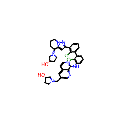 O[C@@H]1CCN(Cc2cnc3c(Nc4cccc(-c5cccc(-c6cc7n(n6)CCCC7N6CC[C@@H](O)C6)c5Cl)c4Cl)nccc3c2)C1